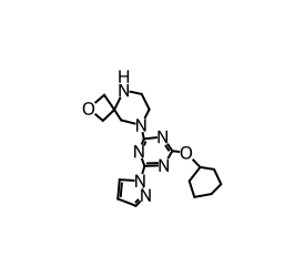 c1cnn(-c2nc(OC3CCCCC3)nc(N3CCNC4(COC4)C3)n2)c1